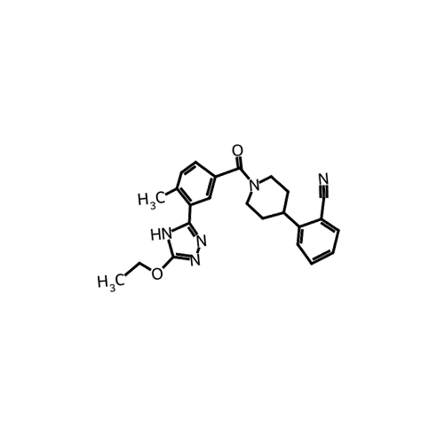 CCOc1nnc(-c2cc(C(=O)N3CCC(c4ccccc4C#N)CC3)ccc2C)[nH]1